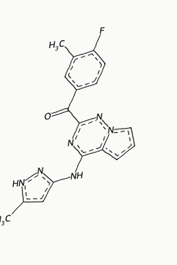 Cc1cc(Nc2nc(C(=O)c3ccc(F)c(C)c3)nn3cccc23)n[nH]1